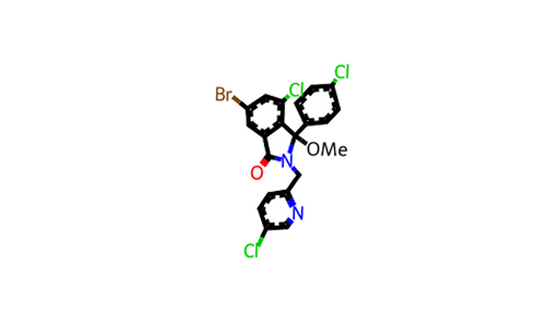 COC1(c2ccc(Cl)cc2)c2c(Cl)cc(Br)cc2C(=O)N1Cc1ccc(Cl)cn1